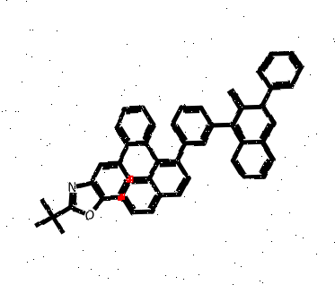 C=C1C(c2cccc(-c3ccc4ccccc4c3-c3ccccc3-c3ccc4oc(C(C)(C)C)nc4c3)c2)=c2ccccc2=CC1c1ccccc1